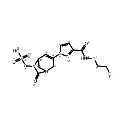 O=C(NOCCO)c1ccn(C2=CC3CN(C2)C(=O)N3OS(=O)(=O)O)n1